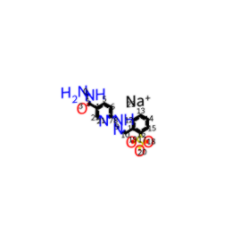 NNC(=O)c1ccc(N/N=C\c2ccccc2S(=O)(=O)[O-])nc1.[Na+]